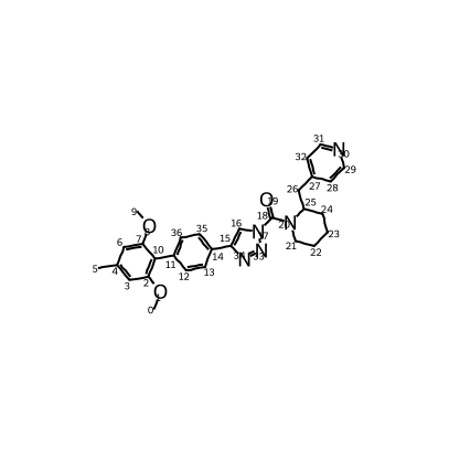 COc1cc(C)cc(OC)c1-c1ccc(-c2cn(C(=O)N3CCCCC3Cc3ccncc3)nn2)cc1